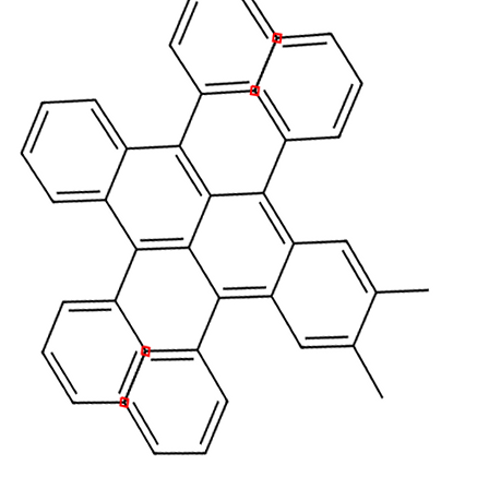 Cc1cc2c(-c3ccccc3)c3c(-c4ccccc4)c4ccccc4c(-c4ccccc4)c3c(-c3ccccc3)c2cc1C